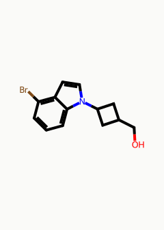 OCC1CC(n2ccc3c(Br)cccc32)C1